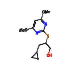 COc1cc(OC)nc(SC(CO)CC2CC2)n1